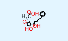 CC(=O)O.O=C1C[C@@H](O)[C@H](C(O)=CCCCc2ccccc2)C1